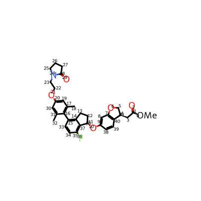 COC(=O)C[C@@H]1COc2cc(O[C@@H]3CCc4c(-c5c(C)cc(OCCN6CCCC6=O)cc5C)ccc(F)c43)ccc21